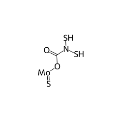 O=C([O][Mo]=[S])N(S)S